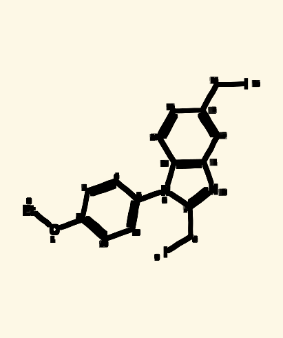 CCOc1ccc(-n2c(CI)nc3cc(CI)ccc32)cc1